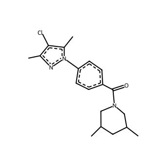 Cc1nn(-c2ccc(C(=O)N3CC(C)CC(C)C3)cc2)c(C)c1Cl